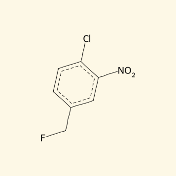 O=[N+]([O-])c1cc(CF)ccc1Cl